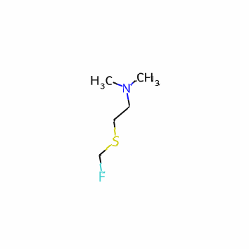 CN(C)CCSCF